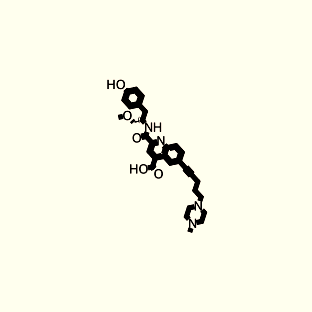 COC[C@H](Cc1ccc(O)cc1)NC(=O)c1cc(C(=O)O)c2cc(C#CCCCN3CCN(C)CC3)ccc2n1